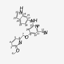 COc1cccc(COc2cc(C#N)nc(Nc3ccc4cc[nH]c4c3)c2)n1